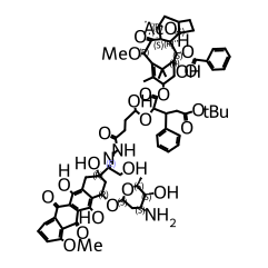 COc1cccc2c1C(=O)c1c(O)c3c(c(O)c1C2=O)C[C@](O)(/C(CO)=N/NC(=O)CCC(O)OC(C(=O)OC1C[C@]2(O)[C@@H](OC(=O)c4ccccc4)[C@H]4[C@@](C)(C(=O)[C@H](OC)C(=C1C)C2(C)C)[C@H](C)CC1CC[C@]14OC(C)=O)C(CC(=O)OC(C)(C)C)c1ccccc1)C[C@H]3O[C@@H]1C[C@H](N)[C@H](O)[C@H](C)O1